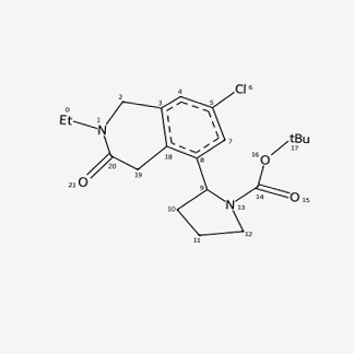 CCN1Cc2cc(Cl)cc(C3CCCN3C(=O)OC(C)(C)C)c2CC1=O